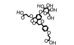 O=C(O)CCOC(=O)c1cc(O[C@H]2O[C@H](CO)[C@H](O)[C@H](O)[C@H]2O)cc2c1C(=O)CC(c1ccc(OCCC(=O)O)cc1)O2